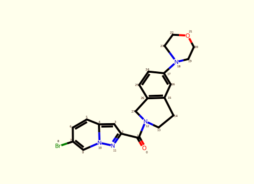 O=C(c1cc2ccc(Br)cn2n1)N1CCc2cc(N3CCOCC3)ccc2C1